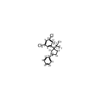 FC(F)(F)C1(c2cc(Cl)cc(Cl)c2)CCN(c2[c]cccc2)C1